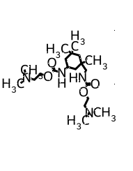 CN(C)CCOC(=O)NCC1(C)CC(NC(=O)OCCN(C)C)CC(C)(C)C1